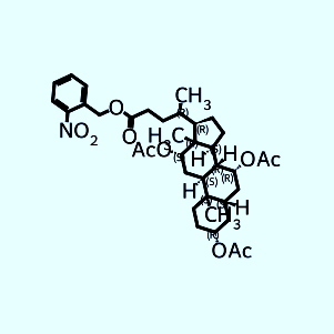 CC(=O)O[C@@H]1CC[C@@]2(C)[C@@H](C1)C[C@@H](OC(C)=O)[C@@H]1[C@@H]2C[C@H](OC(C)=O)[C@]2(C)[C@@H]([C@H](C)CCC(=O)OCc3ccccc3[N+](=O)[O-])CC[C@@H]12